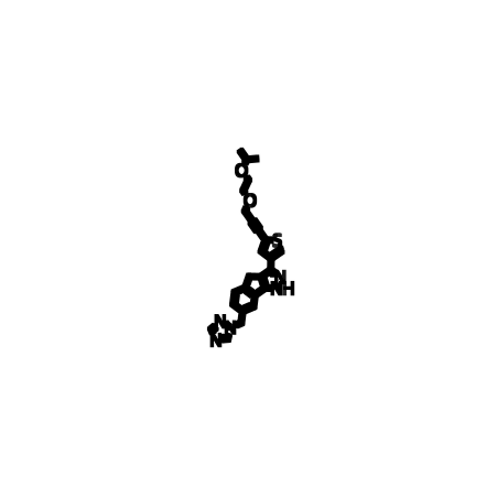 CC(C)OCCOCC#Cc1cc(-c2n[nH]c3c2Cc2ccc(Cn4cncn4)cc2-3)cs1